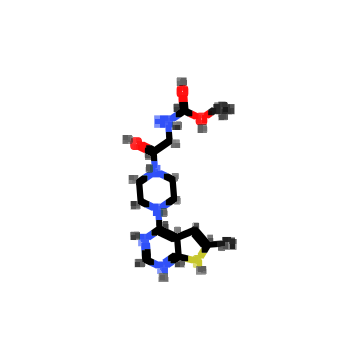 CCc1cc2c(N3CCN(C(=O)CNC(=O)OC(C)(C)C)CC3)ncnc2s1